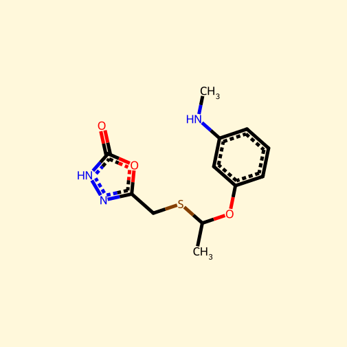 CNc1cccc(OC(C)SCc2n[nH]c(=O)o2)c1